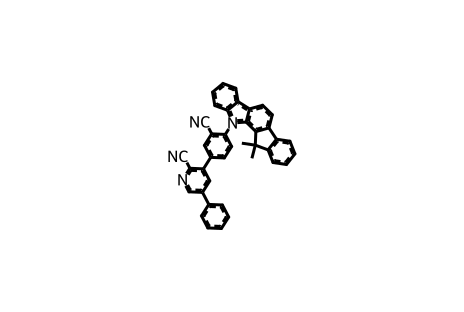 CC1(C)c2ccccc2-c2ccc3c4ccccc4n(-c4ccc(-c5cc(-c6ccccc6)cnc5C#N)cc4C#N)c3c21